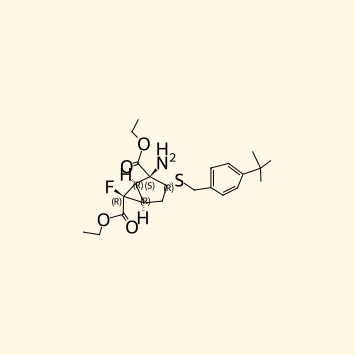 CCOC(=O)[C@@]1(N)[C@H]2[C@@H](C[C@H]1SCc1ccc(C(C)(C)C)cc1)[C@]2(F)C(=O)OCC